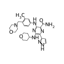 Cc1cc(Nc2nc(NC3CCOCC3)c(-c3cc[nH]n3)nc2C(N)=O)ccc1CN1CCOCC1